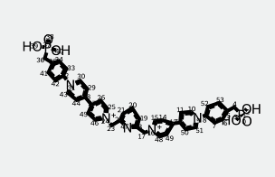 O=P(O)(O)Cc1ccc(-[n+]2ccc(-c3cc[n+](Cc4cccc(C[n+]5ccc(-c6cc[n+](-c7ccc(CP(=O)(O)O)cc7)cc6)cc5)n4)cc3)cc2)cc1